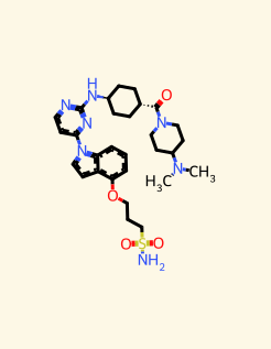 CN(C)C1CCN(C(=O)[C@H]2CC[C@H](Nc3nccc(-n4ccc5c(OCCCS(N)(=O)=O)cccc54)n3)CC2)CC1